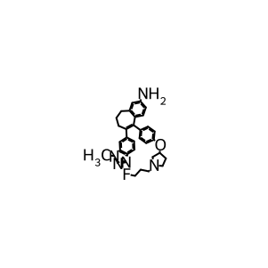 Cn1nnc2ccc(C3=C(c4ccc(OC5CCN(CCCF)C5)cc4)c4ccc(N)cc4CCC3)cc21